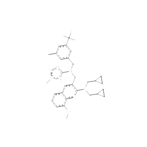 COc1cccc2cc(CN(Cc3cc(C)cc(C(F)(F)F)c3)c3nnn(C)n3)c(N(CC3CC3)CC3CC3)nc12